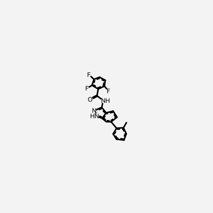 Cc1ccccc1-c1ccc2c(NC(=O)c3c(F)ccc(F)c3F)n[nH]c2c1